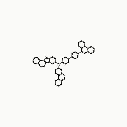 c1ccc2c(c1)ccc1cc(N(c3ccc(-c4ccc(-c5cc6ccccc6c6ccccc56)cc4)cc3)c3ccc4sc5c6ccccc6ccc5c4c3)ccc12